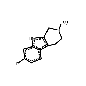 O=C(O)N1CCc2c([nH]c3cc(F)ccc23)C1